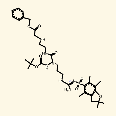 Cc1c(C)c(S(=O)(=O)/N=C(\N)NCCC[C@H](NC(=O)OC(C)(C)C)C(=O)NCCNCC(=O)OCc2ccccc2)c(C)c2c1OC(C)(C)C2